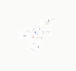 CNCc1cc(-c2ccsc2)n(S(=O)(=O)c2ccccc2)c1C